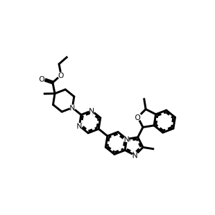 CCOC(=O)C1(C)CCN(c2ncc(-c3ccc4nc(C)c(C5OC(C)c6ccccc65)n4c3)cn2)CC1